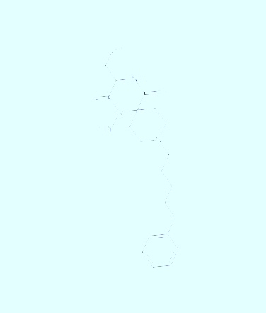 CCCN1C(=O)C(CC(C)C)NC(=O)C12CCN(CCCCCc1ccccc1)CC2